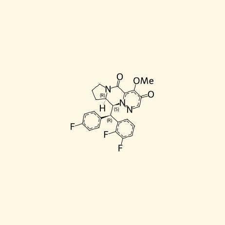 [CH2]Oc1c2n(ncc1=O)[C@@H]([C@H](c1ccc(F)cc1)c1cccc(F)c1F)[C@H]1CCCN1C2=O